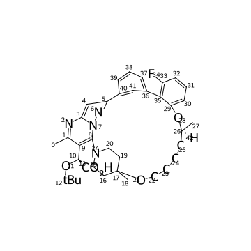 Cc1nc2cc3nn2c(c1[C@H](OC(C)(C)C)C(=O)O)N1CCC(C)(CC1)OCCCC[C@H](C)Oc1cccc(F)c1-c1cccc-3c1